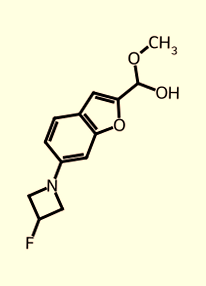 COC(O)c1cc2ccc(N3CC(F)C3)cc2o1